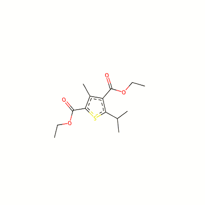 CCOC(=O)c1sc(C(C)C)c(C(=O)OCC)c1C